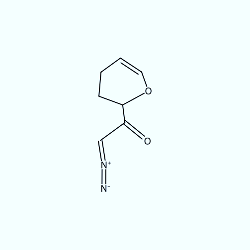 [N-]=[N+]=CC(=O)C1CCC=CO1